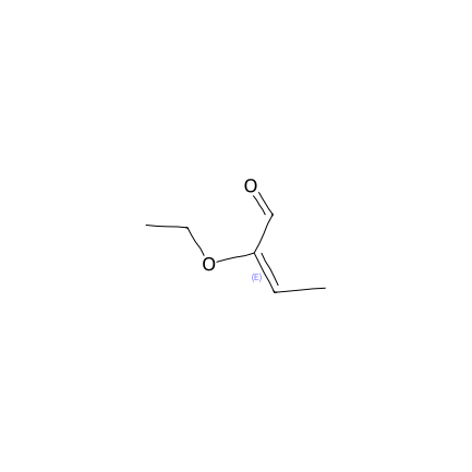 C/C=C(\C=O)OCC